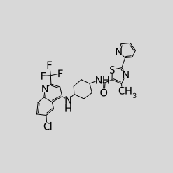 Cc1nc(-c2ccccn2)sc1C(=O)NC1CCC(Nc2cc(C(F)(F)F)nc3ccc(Cl)cc23)CC1